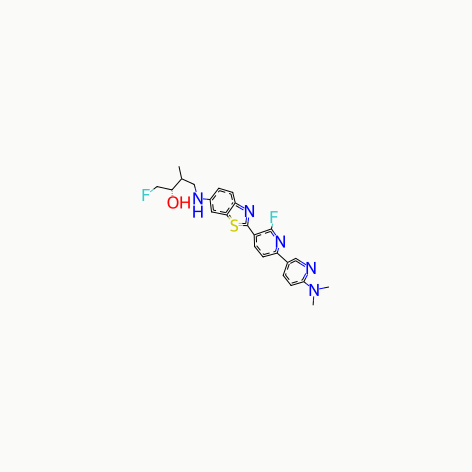 CC(CNc1ccc2nc(-c3ccc(-c4ccc(N(C)C)nc4)nc3F)sc2c1)[C@H](O)CF